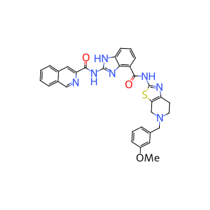 COc1cccc(CN2CCc3nc(NC(=O)c4cccc5[nH]c(NC(=O)c6cc7ccccc7cn6)nc45)sc3C2)c1